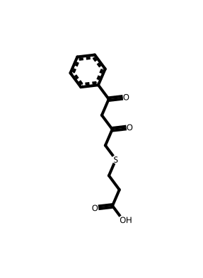 O=C(O)CCSCC(=O)CC(=O)c1ccccc1